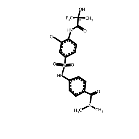 CN(C)C(=O)c1ccc(NS(=O)(=O)c2ccc(NC(=O)[C@@](C)(O)C(F)(F)F)c(Cl)c2)cc1